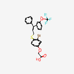 O=C(O)COc1ccc(SCC=C(c2ccccc2)c2cccc(OC(F)(F)F)c2)c(Br)c1